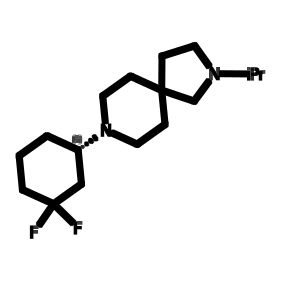 CC(C)N1CCC2(CCN([C@H]3CCCC(F)(F)C3)CC2)C1